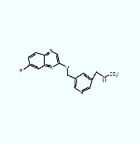 O=C(O)NCc1cncc(COc2cnc3ccc(Br)cc3n2)c1